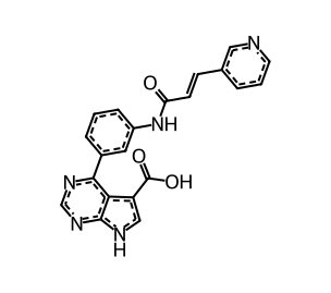 O=C(/C=C/c1cccnc1)Nc1cccc(-c2ncnc3[nH]cc(C(=O)O)c23)c1